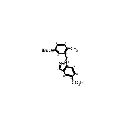 CC(C)COc1ccc(C(F)(F)F)c(Cn2ncc3cc(C(=O)O)ccc32)c1